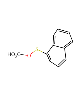 O=C(O)OSc1cccc2ccccc12